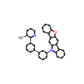 N#Cc1cccnc1-c1cccc(-c2cccc(-n3c4ccccc4c4cc5oc6ccccc6c5cc43)c2)c1